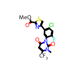 COC(=O)c1nc(-c2cc(-n3c(=O)cc(C(F)(F)F)n(C)c3=O)c(F)cc2Cl)cs1